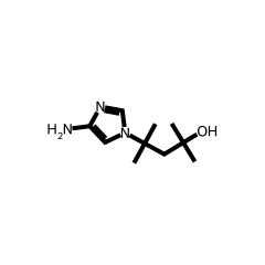 CC(C)(O)CC(C)(C)n1cnc(N)c1